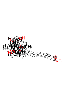 CC(C)(C)c1cc(C(CCCC(=O)O)(C(=O)Oc2c(C(C)(C)C)cc(CCCCCCCCCCCCCCCCCC(=O)O)cc2C(C)(C)C)c2cc(C(C)(C)C)c(O)c(C(C)(C)C)c2)cc(C(C)(C)C)c1O